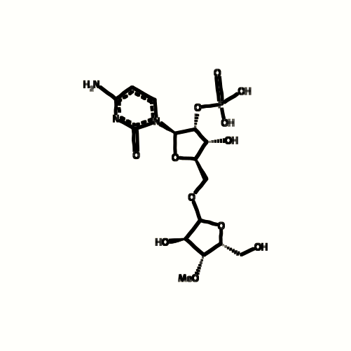 CO[C@H]1[C@@H](CO)OC(OC[C@H]2O[C@@H](n3ccc(N)nc3=O)[C@H](OP(=O)(O)O)[C@@H]2O)[C@@H]1O